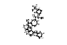 O=C([C@H](O)c1cccc(C(F)(F)F)c1)N1CCCc2nc(C3(c4cccc(Oc5ccccc5)c4)CC3)[nH]c(=O)c2C1